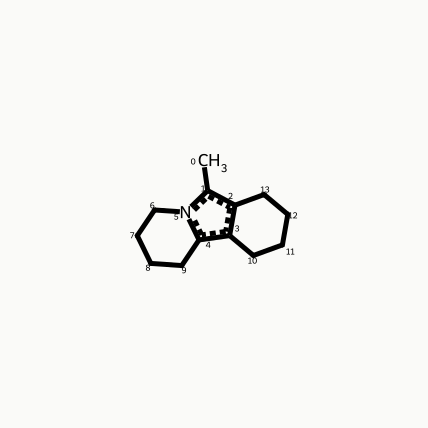 Cc1c2c(c3n1CCCC3)CCCC2